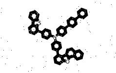 c1ccc(-c2ccc(-c3ccc(N(c4ccc(-c5cccc6c5sc5ccccc56)cc4)c4ccc(-c5cccc6oc7c8ccccc8ccc7c56)cc4)cc3)cc2)cc1